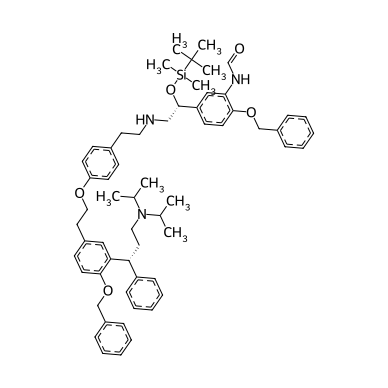 CC(C)N(CC[C@H](c1ccccc1)c1cc(CCOc2ccc(CCNC[C@H](O[Si](C)(C)C(C)(C)C)c3ccc(OCc4ccccc4)c(NC=O)c3)cc2)ccc1OCc1ccccc1)C(C)C